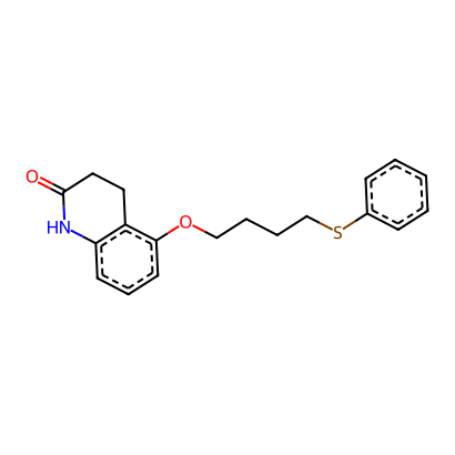 O=C1CCc2c(cccc2OCCCCSc2ccccc2)N1